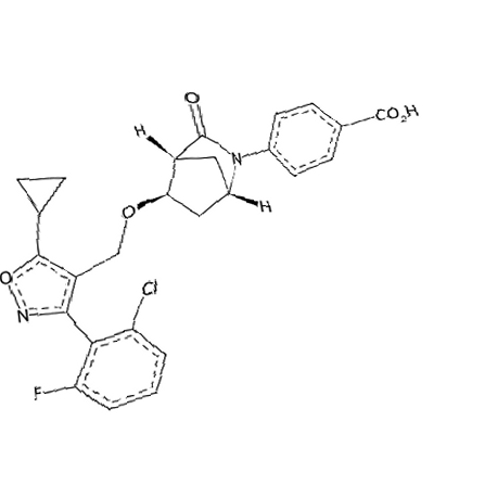 O=C(O)c1ccc(N2C(=O)[C@@H]3C[C@H]2C[C@H]3OCc2c(-c3c(F)cccc3Cl)noc2C2CC2)cc1